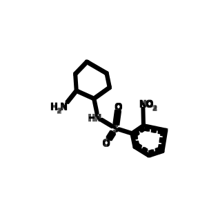 NC1CCCCC1NS(=O)(=O)c1ccccc1[N+](=O)[O-]